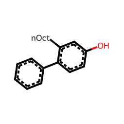 CCCCCCCCc1cc(O)ccc1-c1ccccc1